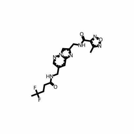 Cc1nonc1C(=O)NCc1cn2ncc(CNC(=O)CCC(C)(F)F)cc2n1